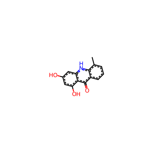 Cc1cccc2c(=O)c3c(O)cc(O)cc3[nH]c12